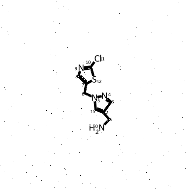 NCc1cnn(Cc2cnc(Cl)s2)c1